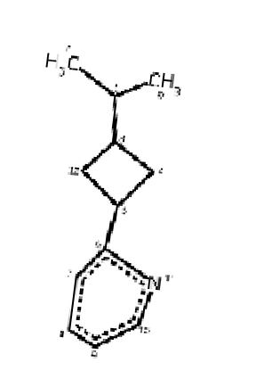 CC(C)C1CC(c2ccccn2)C1